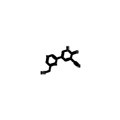 N#Cc1cc(-c2cncc(CO)n2)c[nH]c1=O